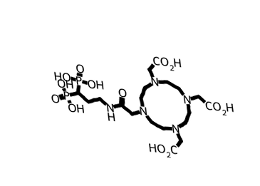 O=C(O)CN1CCN(CC(=O)O)CCN(CC(=O)NCCC(P(=O)(O)O)P(=O)(O)O)CCN(CC(=O)O)CC1